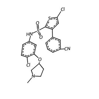 CN1CC[C@@H](Oc2cc(NS(=O)(=O)c3sc(Cl)cc3-c3cccc(C#N)c3)ccc2Cl)C1